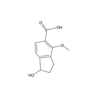 COc1c(C(=O)O)ccc2c1CCC2O